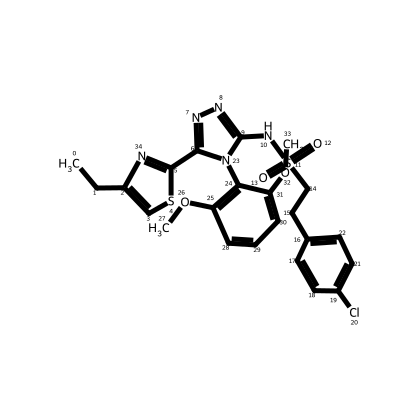 CCc1csc(-c2nnc(NS(=O)(=O)CCc3ccc(Cl)cc3)n2-c2c(OC)cccc2OC)n1